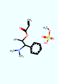 C=CC(=O)OC(CCC)C(c1ccccc1)N(C)C.COS(=O)(=O)O